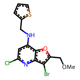 COCc1oc2c(NCc3cccs3)cc(Cl)nc2c1Br